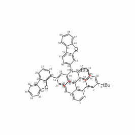 CC(C)(C)c1cc(-c2cccc3cccc(-c4ccccc4N(c4cccc(-c5cccc6c5oc5ccccc56)c4)c4ccc5c(c4)oc4ccccc45)c23)cc(C(C)(C)C)c1